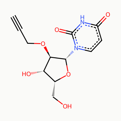 C#CCO[C@@H]1[C@@H](O)[C@@H](CO)O[C@H]1n1ccc(=O)[nH]c1=O